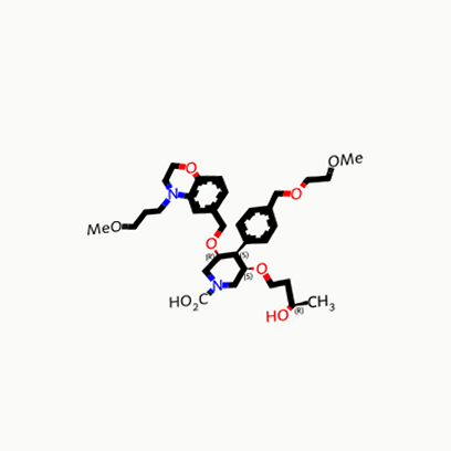 COCCCN1CCOc2ccc(CO[C@H]3CN(C(=O)O)C[C@@H](OCC[C@@H](C)O)[C@@H]3c3ccc(COCCOC)cc3)cc21